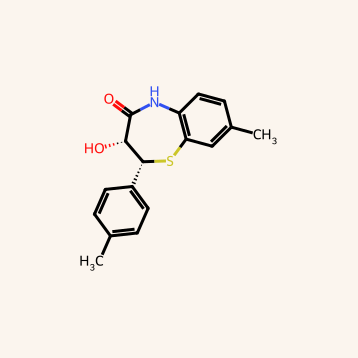 Cc1ccc([C@H]2Sc3cc(C)ccc3NC(=O)[C@H]2O)cc1